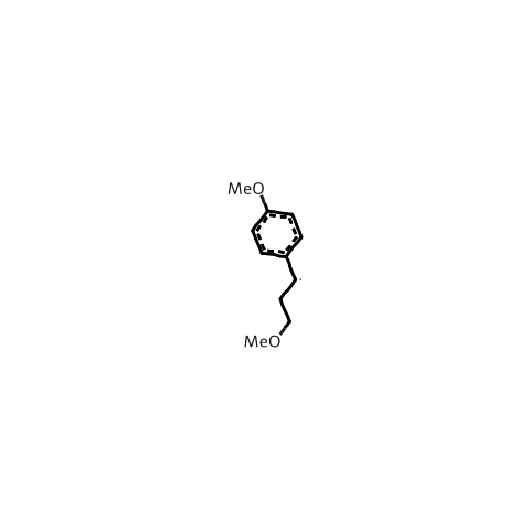 COCC[CH]c1ccc(OC)cc1